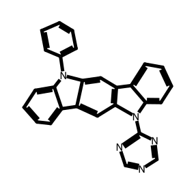 c1ccc(-n2c3ccccc3c3cc4c(cc32)c2ccccc2n4-c2ncncn2)cc1